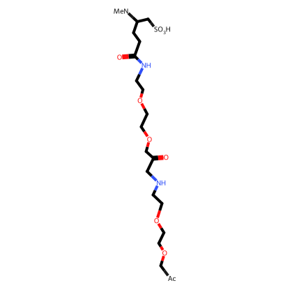 CNC(CCC(=O)NCCOCCOCC(=O)CNCCOCCOCC(C)=O)CS(=O)(=O)O